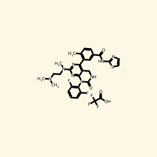 Cc1ccc(C(=O)Nc2nccs2)cc1-c1nc(N(C)CCN(C)C)nc2c1CNC(=O)N2c1c(F)cccc1F.O=C(O)C(F)(F)F